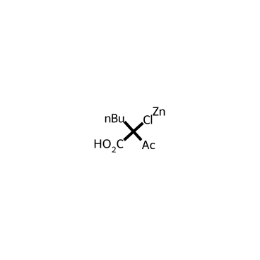 CCCCC(Cl)(C(C)=O)C(=O)O.[Zn]